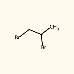 C[C](Br)CBr